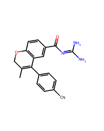 CC1=C(c2ccc(C#N)cc2)c2cc(C(=O)N=C(N)N)ccc2OC1